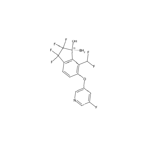 B[C@]1(O)c2c(ccc(Oc3cncc(F)c3)c2C(F)F)C(F)(F)C1(F)F